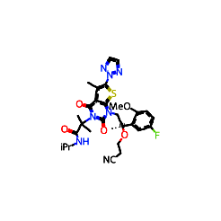 COc1ccc(F)cc1[C@](C)(Cn1c(=O)n(C(C)(C)C(=O)NC(C)C)c(=O)c2c(C)c(-n3nccn3)sc21)OCCC#N